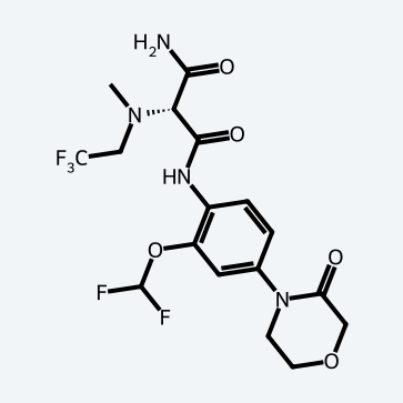 CN(CC(F)(F)F)[C@H](C(N)=O)C(=O)Nc1ccc(N2CCOCC2=O)cc1OC(F)F